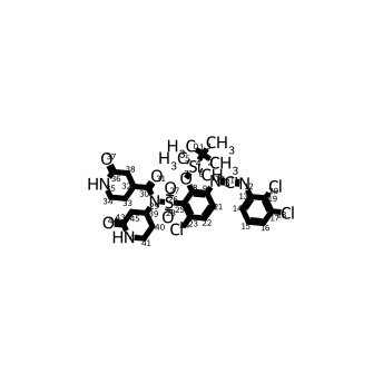 CC(C)(C)[Si](C)(C)Oc1c(N=C=Nc2cccc(Cl)c2Cl)ccc(Cl)c1S(=O)(=O)N(C(=O)C1CCNC(=O)C1)C1CCNC(=O)C1